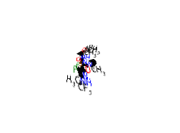 C[C@H](Nc1cc(C(F)F)c(-c2sc(C(=O)N[C@@H]3C[C@H]3O[Si](C)(C)C(C)(C)C)nc2C(=O)N2CCC[C@@H]2C)cn1)C(F)(F)F